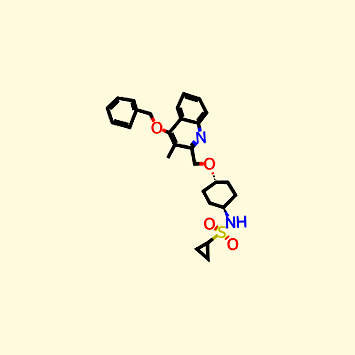 Cc1c(CO[C@H]2CC[C@H](NS(=O)(=O)C3CC3)CC2)nc2ccccc2c1OCc1ccccc1